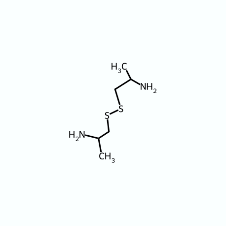 CC(N)CSSCC(C)N